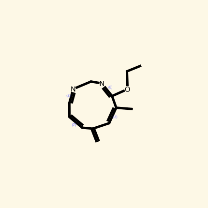 C=C1/C=C\C=N/C/N=C(OCC)\C(C)=C/1